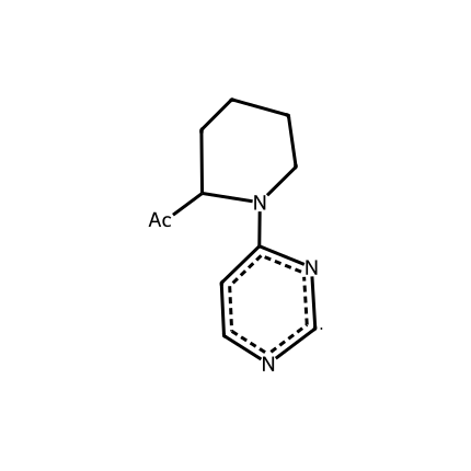 CC(=O)C1CCCCN1c1ccn[c]n1